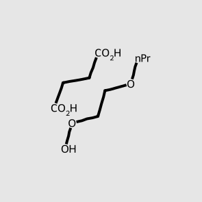 CCCOCCOO.O=C(O)CCC(=O)O